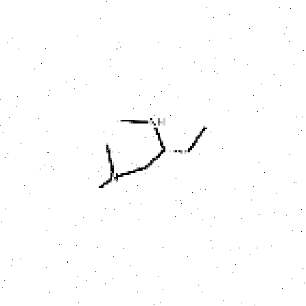 CC[C@H](CN(C)C)NC